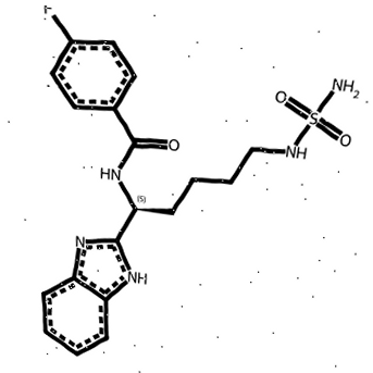 NS(=O)(=O)NCCCC[C@H](NC(=O)c1ccc(F)cc1)c1nc2ccccc2[nH]1